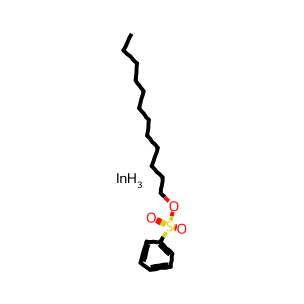 CCCCCCCCCCCCOS(=O)(=O)c1ccccc1.[InH3]